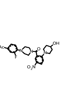 CC(=O)c1ccc(N2CCN(C(=O)c3cc([N+](=O)[O-])ccc3N3CCC(O)CC3)CC2)c(F)c1